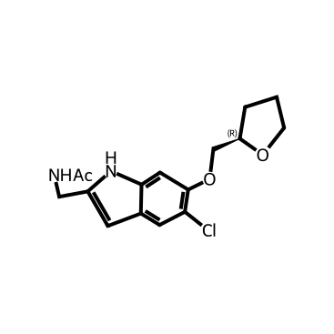 CC(=O)NCc1cc2cc(Cl)c(OC[C@H]3CCCO3)cc2[nH]1